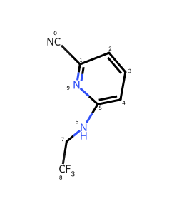 N#Cc1cccc(NCC(F)(F)F)n1